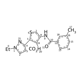 CCn1ccc(-c2scc(NC(=O)c3cccc(C)c3)c2C(=O)O)n1